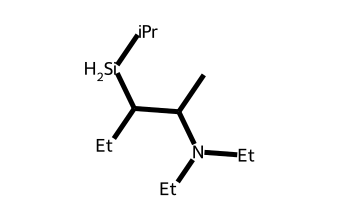 CCC([SiH2]C(C)C)C(C)N(CC)CC